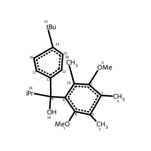 COc1c(C)c(C)c(OC)c(C(O)(c2ccc(C(C)(C)C)cc2)C(C)C)c1C